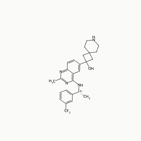 Cc1nc(N[C@H](C)c2cccc(C(F)(F)F)c2)c2cc(C3(O)CC4(CCNCC4)C3)ccc2n1